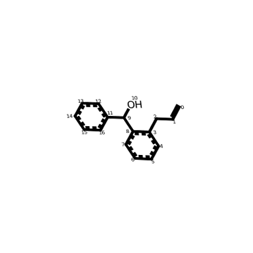 C=CCc1ccccc1C(O)c1ccccc1